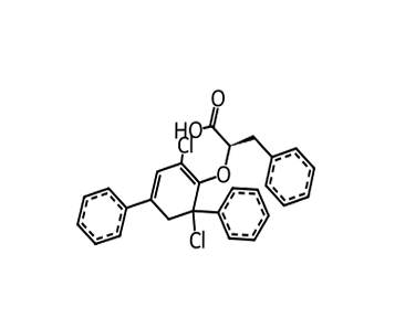 O=C(O)[C@@H](Cc1ccccc1)OC1=C(Cl)C=C(c2ccccc2)CC1(Cl)c1ccccc1